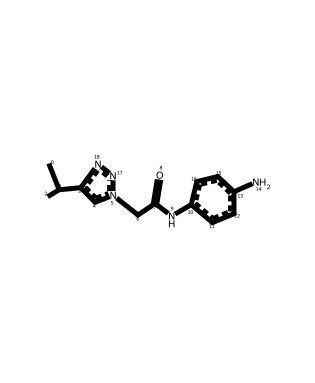 CC(C)c1cn(CC(=O)Nc2ccc(N)cc2)nn1